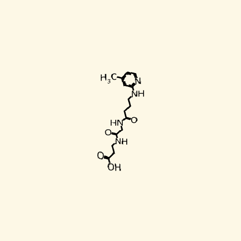 Cc1ccnc(NCCCC(=O)NCC(=O)NCCC(=O)O)c1